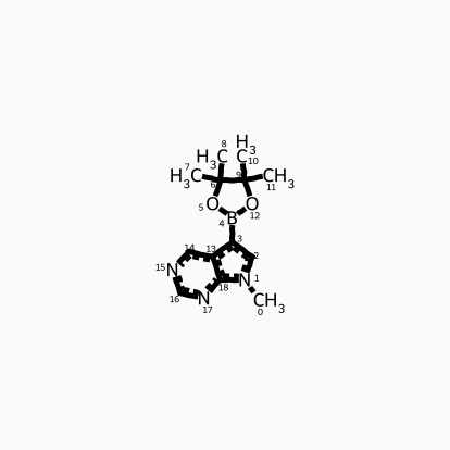 Cn1cc(B2OC(C)(C)C(C)(C)O2)c2cncnc21